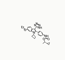 CCOc1ccc2c(-c3nnn[nH]3)c(-c3ccc(NC(=O)OC(C)C4CC4)cc3)n(C3CCC3)c2c1